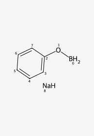 BOc1ccccc1.[NaH]